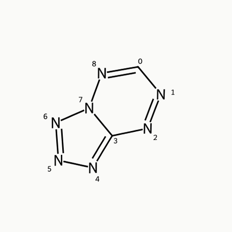 c1nnc2nnnn2n1